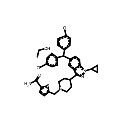 CCO.NC(=O)c1ccc(CN2CCC(c3nn(C4CC4)c4ccc(C(c5ccc(Cl)cc5)c5ccc(Cl)cc5)cc34)CC2)s1